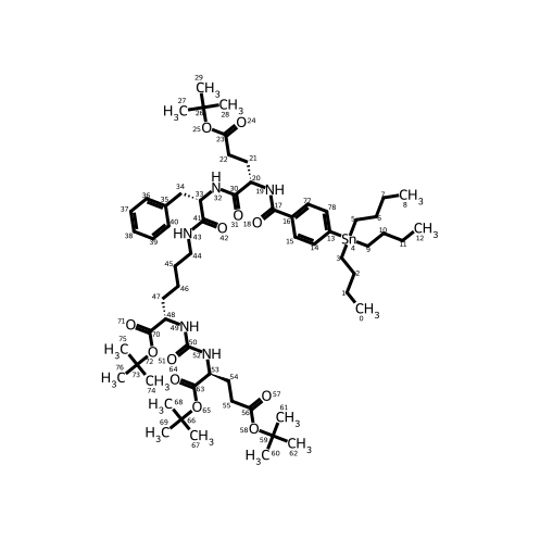 CCC[CH2][Sn]([CH2]CCC)([CH2]CCC)[c]1ccc(C(=O)N[C@@H](CCC(=O)OC(C)(C)C)C(=O)N[C@@H](Cc2ccccc2)C(=O)NCCCC[C@H](NC(=O)N[C@@H](CCC(=O)OC(C)(C)C)C(=O)OC(C)(C)C)C(=O)OC(C)(C)C)cc1